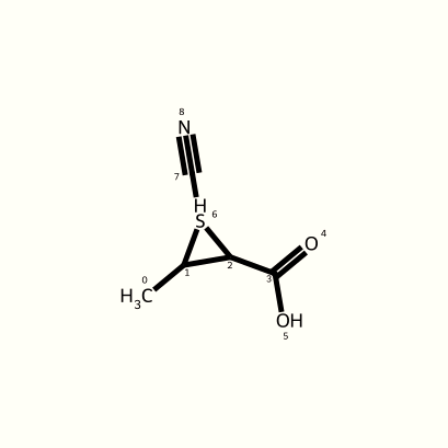 CC1C(C(=O)O)[SH]1C#N